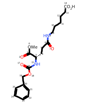 COC(=O)[C@H](CCC(=O)NCCCCCC(=O)O)NC(=O)OCc1ccccc1